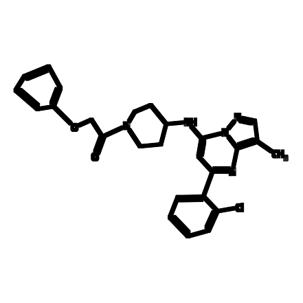 Cc1cnn2c(NC3CCN(C(=O)COc4ccccc4)CC3)cc(-c3ccccc3Cl)nc12